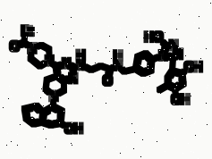 CCC(=O)N1CCN(c2nc(NCCC(=O)NCc3ccc(-n4c(O)nnc4-c4cc(C)c(O)cc4O)cc3)nc3c2CCN(c2cc(O)cc4ccccc24)C3)CC1